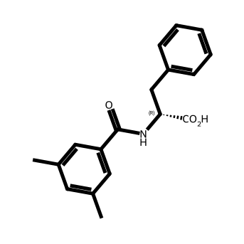 Cc1cc(C)cc(C(=O)N[C@H](Cc2ccccc2)C(=O)O)c1